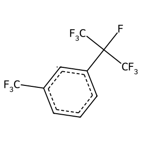 FC(F)(F)c1[c]c(C(F)(C(F)(F)F)C(F)(F)F)ccc1